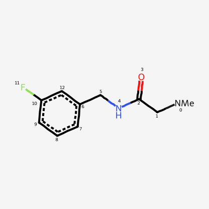 CNCC(=O)NCc1cccc(F)c1